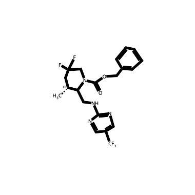 C[C@@H]1CC(F)(F)CN(C(=O)OCc2ccccc2)C1CNc1ncc(C(F)(F)F)cn1